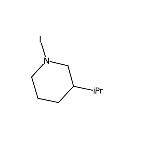 CC(C)C1CCCN(I)C1